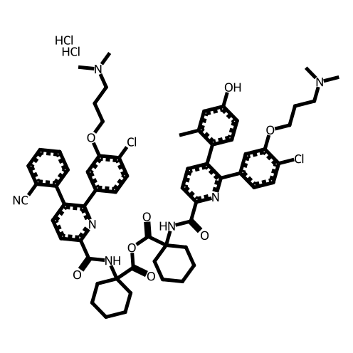 Cc1cc(O)ccc1-c1ccc(C(=O)NC2(C(=O)OC(=O)C3(NC(=O)c4ccc(-c5ccccc5C#N)c(-c5ccc(Cl)c(OCCCN(C)C)c5)n4)CCCCC3)CCCCC2)nc1-c1ccc(Cl)c(OCCCN(C)C)c1.Cl.Cl